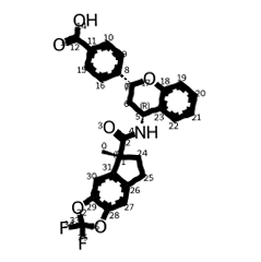 C[C@@]1(C(=O)N[C@@H]2C[C@H](c3ccc(C(=O)O)cc3)Oc3ccccc32)CCc2cc3c(cc21)OC(F)(F)O3